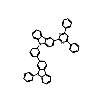 c1ccc(-c2nc(-c3ccccc3)nc(-c3ccc4c(c3)c3ccccc3n4-c3cccc(-c4ccc5c6ccccc6n(-c6ccccc6)c5c4)c3)n2)cc1